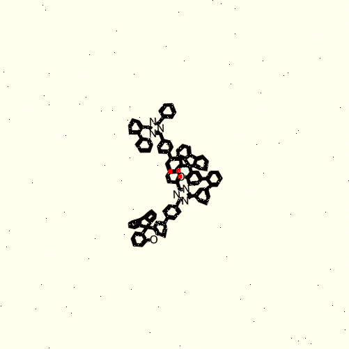 c1ccc(-c2nc(-c3ccc(-c4ccc5c(c4)C4(c6ccccc6O5)c5ccccc5-c5ccccc54)cc3)nc(-c3cccc(-c4ccccc4-c4ccc5c(c4)C4(c6cc(-c7ccc(-c8nc(-c9ccccc9)nc(-c9ccccc9-c9ccccc9)n8)cc7)ccc6O5)c5ccccc5-c5ccccc54)c3)n2)cc1